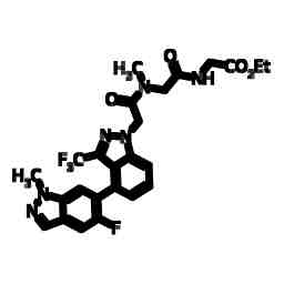 CCOC(=O)CNC(=O)CN(C)C(=O)Cn1nc(C(F)(F)F)c2c(-c3cc4c(cnn4C)cc3F)cccc21